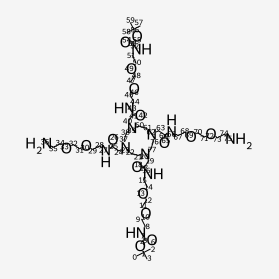 CC(C)(C)OC(=O)NCCOCCOCCNC(=O)CN1CCN(CC(=O)NCCOCCOCCN)CCN(CC(=O)NCCOCCOCCNC(=O)OC(C)(C)C)CCN(CC(=O)NCCOCCOCCN)CC1